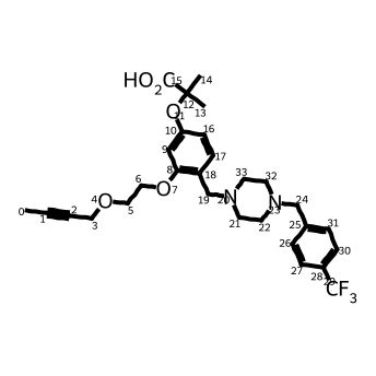 CC#CCOCCOc1cc(OC(C)(C)C(=O)O)ccc1CN1CCN(Cc2ccc(C(F)(F)F)cc2)CC1